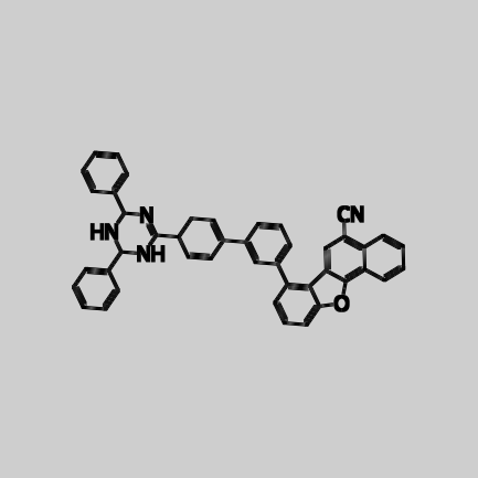 N#Cc1cc2c(oc3cccc(-c4cccc(C5=CCC(C6=NC(c7ccccc7)NC(c7ccccc7)N6)C=C5)c4)c32)c2ccccc12